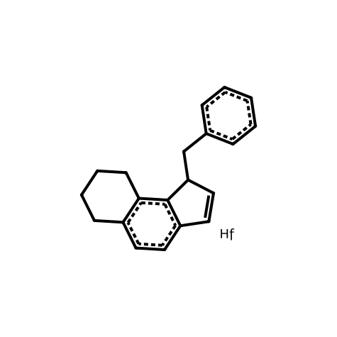 C1=CC(Cc2ccccc2)c2c1ccc1c2CCCC1.[Hf]